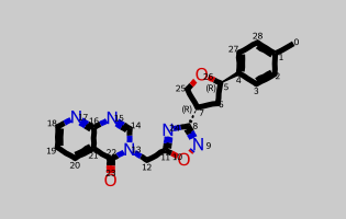 Cc1ccc([C@H]2C[C@H](c3noc(Cn4cnc5ncccc5c4=O)n3)CO2)cc1